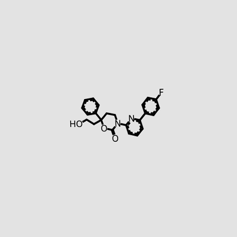 O=C1OC(CCO)(c2ccccc2)CCN1c1cccc(-c2ccc(F)cc2)n1